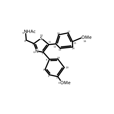 COc1ccc(-c2nc(CNC(C)=O)sc2-c2ccc(OC)cc2)cc1